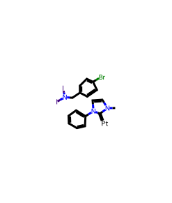 Brc1ccc(CN(I)I)cc1.Cn1ccn(-c2ccccc2)[c]1=[Pt]